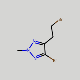 Cn1nc(Br)c(CCBr)n1